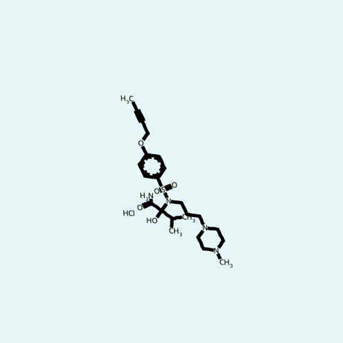 CC#CCOc1ccc(S(=O)(=O)N(CCCN2CCN(C)CC2)C(O)(C(N)=O)C(C)C)cc1.Cl